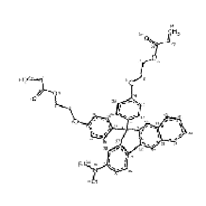 C=CC(=O)OCCOc1ccc(C2(c3ccc(OCCOC(=O)C=C)cc3)c3cc(N(CC)CC)ccc3-c3cc4ccccc4cc32)cc1